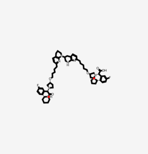 O=C(O)[C@H](c1cc(F)ccc1[C@@H]1CCCO1)N1CC[C@@H](OCCCCCc2ccc3c(n2)NCC(N2CCCc4ccc(CCCCCO[C@@H]5CCN([C@@H](C(=O)O)c6cc(F)ccc6[C@H]6CCCCO6)C5)nc42)C3)C1